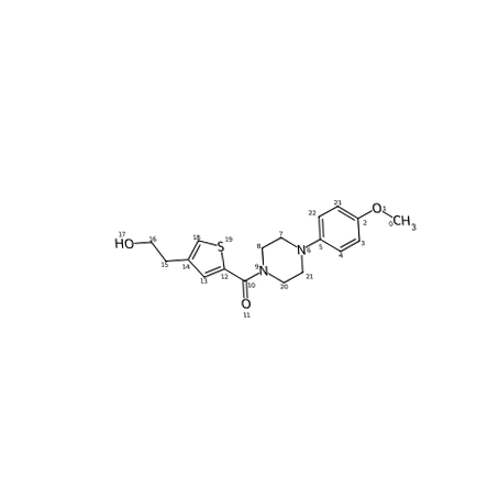 COc1ccc(N2CCN(C(=O)c3cc(CCO)cs3)CC2)cc1